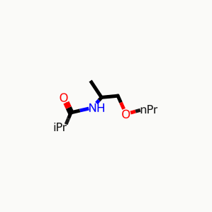 CCCOCC(C)NC(=O)C(C)C